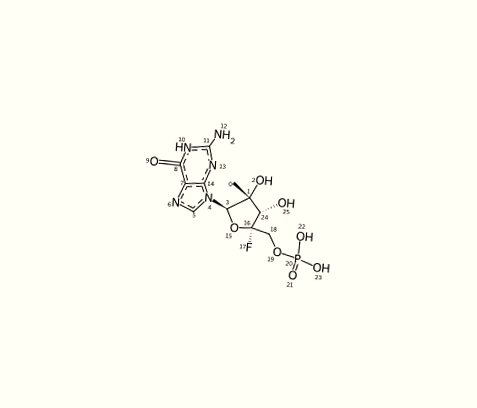 C[C@]1(O)[C@H](n2cnc3c(=O)[nH]c(N)nc32)O[C@](F)(COP(=O)(O)O)[C@H]1O